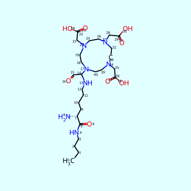 CCCCNC(=O)[C@H](N)CCCCNC(C=O)N1CCN(CC(=O)O)CCN(CC(=O)O)CCN(CC(=O)O)CC1